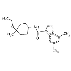 CCOC1(C)CCC(NC(=O)c2ccn3c(C)cc(C)nc23)CC1